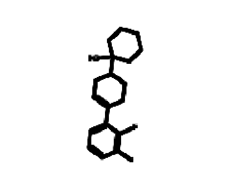 OC1(C2CC=C(c3cccc(F)c3F)CC2)CCCCC1